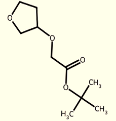 CC(C)(C)OC(=O)COC1CCOC1